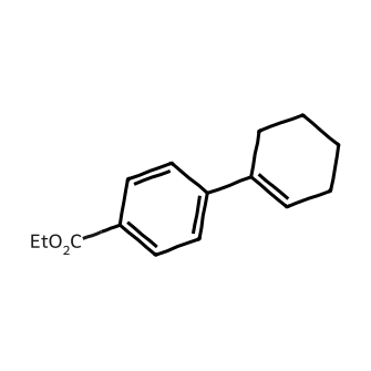 CCOC(=O)c1ccc(C2=CCCCC2)cc1